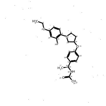 CCOc1ccc(N2CCC(Oc3ccc([C@H](C)NC(C)=O)cc3)C2)c(F)c1